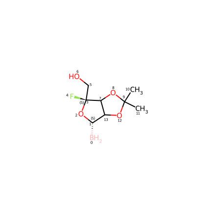 B[C@@H]1O[C@](F)(CO)C2OC(C)(C)OC21